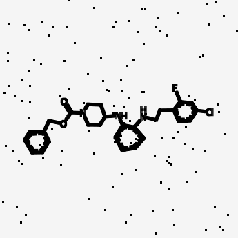 O=C(OCc1ccccc1)N1CCC(Nc2ccccc2NCCc2ccc(Cl)cc2F)CC1